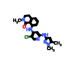 Cc1cc(Nc2cc(Nc3cccc4c3C(=O)N(C)CC4)c(Cl)cn2)nn1C